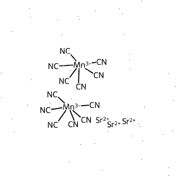 N#[C][Mn-3]([C]#N)([C]#N)([C]#N)([C]#N)[C]#N.N#[C][Mn-3]([C]#N)([C]#N)([C]#N)([C]#N)[C]#N.[Sr+2].[Sr+2].[Sr+2]